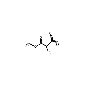 CCC(C(=O)Cl)C(=O)OC(C)C